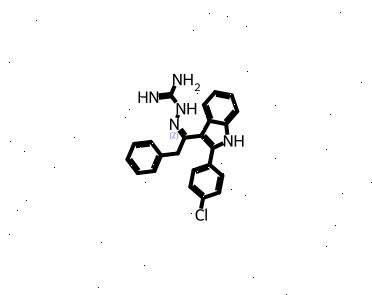 N=C(N)N/N=C(/Cc1ccccc1)c1c(-c2ccc(Cl)cc2)[nH]c2ccccc12